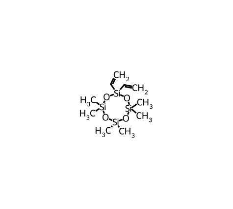 C=C[Si]1(C=C)O[Si](C)(C)O[Si](C)(C)O[Si](C)(C)O1